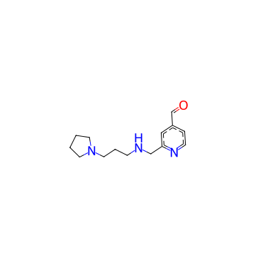 O=Cc1ccnc(CNCCCN2CCCC2)c1